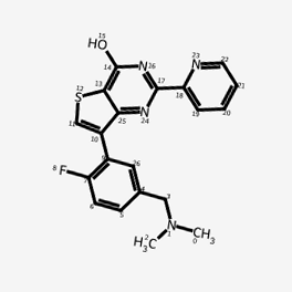 CN(C)Cc1ccc(F)c(-c2csc3c(O)nc(-c4ccccn4)nc23)c1